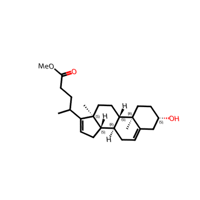 COC(=O)CCC(C)C1=CC[C@H]2[C@@H]3CC=C4C[C@@H](O)CC[C@]4(C)[C@H]3CC[C@]12C